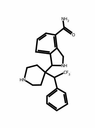 NC(=O)c1cccc2c1CNC2C1(C(c2ccccc2)C(F)(F)F)CCNCC1